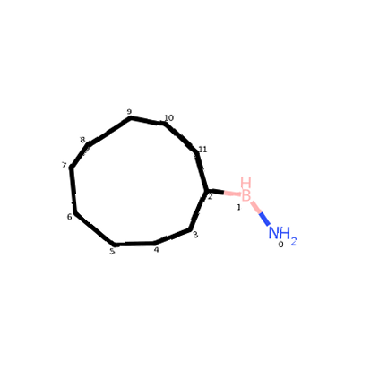 NBC1CCCCCCCCC1